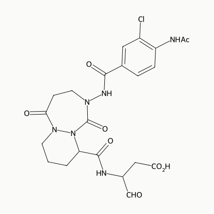 CC(=O)Nc1ccc(C(=O)NN2CCC(=O)N3CCCC(C(=O)NC(C=O)CC(=O)O)N3C2=O)cc1Cl